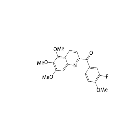 COc1ccc(C(=O)c2ccc3c(OC)c(OC)c(OC)cc3n2)cc1F